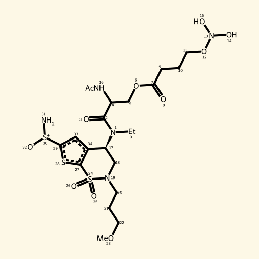 CCN(C(=O)C(COC(=O)CCCON(O)O)NC(C)=O)[C@H]1CN(CCCOC)S(=O)(=O)c2sc([S+](N)[O-])cc21